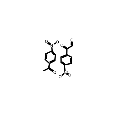 CC(=O)c1ccc([N+](=O)[O-])cc1.O=CC(=O)c1ccc([N+](=O)[O-])cc1